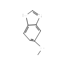 COc1ccc2[te]cnc2c1